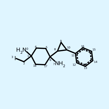 NC1(CI)CCC(N)(C2CC2c2ccccc2)CC1